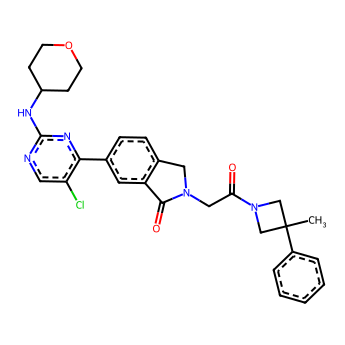 CC1(c2ccccc2)CN(C(=O)CN2Cc3ccc(-c4nc(NC5CCOCC5)ncc4Cl)cc3C2=O)C1